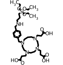 CCO[Si](CCCNCc1ccc(CN2CCCN(CCC(=O)O)CCN(CCC(=O)O)CCN(CCC(=O)O)CC2)cc1)(OCC)OCC